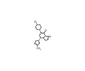 Cn1cc(-c2cn(-c3ccc(Cl)cc3)c(=O)c3[nH]ccc23)cn1